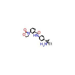 CC[C@]1(N)C[C@H]1c1ccc(NC(=O)c2cccc(N3CCOC3=O)c2)cc1